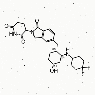 O=C1CCC(N2Cc3cc(C[C@H]4CC[C@H](O)C[C@@H]4NC4CCC(F)(F)CC4)ccc3C2=O)C(=O)N1